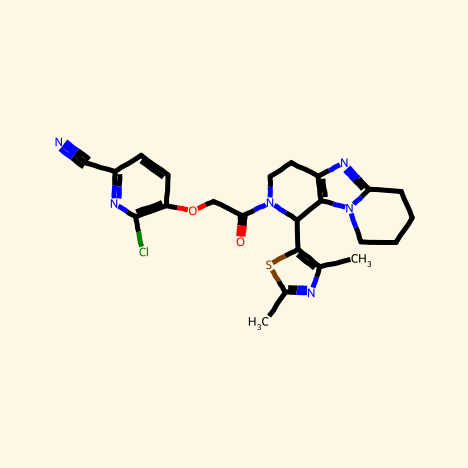 Cc1nc(C)c(C2c3c(nc4n3CCCC4)CCN2C(=O)COc2ccc(C#N)nc2Cl)s1